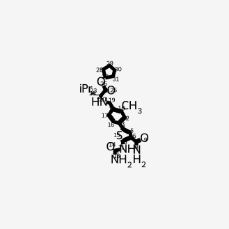 Cc1cc(-c2cc(C(N)=O)c(NC(N)=O)s2)ccc1CN[C@H](CC(C)C)C(=O)OC1CCCC1